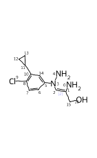 N/C(=C\N(N)c1ccc(Cl)c(C2CC2)c1)CO